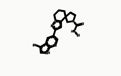 CCNC(=O)N1CCC2(CCCn3nc(-c4cnc5[nH]cc(CC)c5c4)cc32)C1